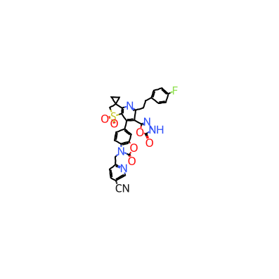 N#Cc1ccc(Cn2c(=O)oc3cc(-c4c(-c5n[nH]c(=O)o5)c(CCc5ccc(F)cc5)nc5c4S(=O)(=O)CC54CC4)ccc32)nc1